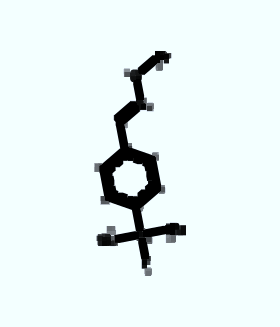 CC(C)O/N=C/c1ccc(S(F)(C(C)(C)C)C(C)(C)C)cc1